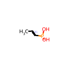 C/C=C/P(O)O